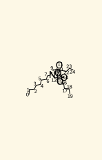 CCCCCCCCN(CC=O)CP(=O)(OCCCC)OCCCC